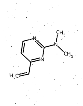 C=Cc1ccnc(N(C)C)n1